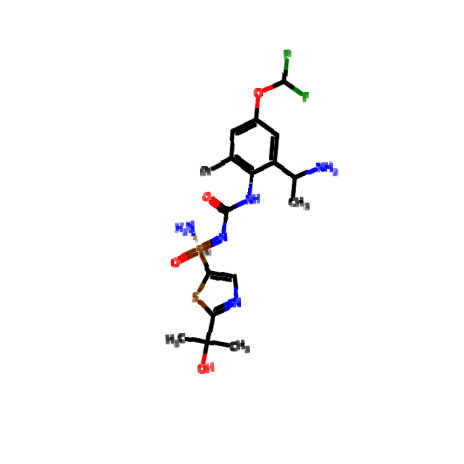 CC(C)c1cc(OC(F)F)cc(C(C)N)c1NC(=O)N=[S@](N)(=O)c1cnc(C(C)(C)O)s1